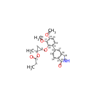 CCC(=O)OC1(C)CC1Oc1c(-c2ccc3c(c2)CNC3=O)ccc(OC)c1OC